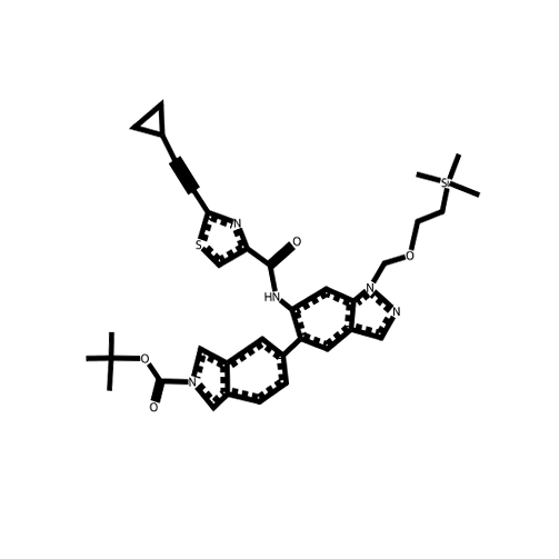 CC(C)(C)OC(=O)n1cc2ccc(-c3cc4cnn(COCC[Si](C)(C)C)c4cc3NC(=O)c3csc(C#CC4CC4)n3)cc2c1